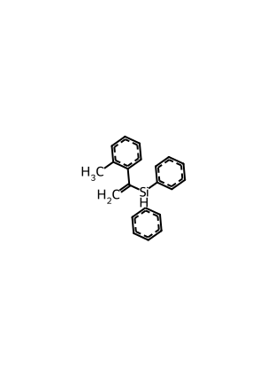 C=C(c1ccccc1C)[SiH](c1ccccc1)c1ccccc1